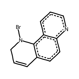 BrN1CC=Cc2ccc3ncccc3c21